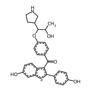 CC(O)C(Oc1ccc(C(=O)c2c(-c3ccc(O)cc3)sc3cc(O)ccc23)cc1)C1CCNC1